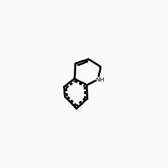 [c]1cccc2c1NCC=C2